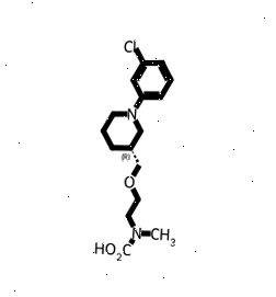 CN(CCOC[C@@H]1CCCN(c2cccc(Cl)c2)C1)C(=O)O